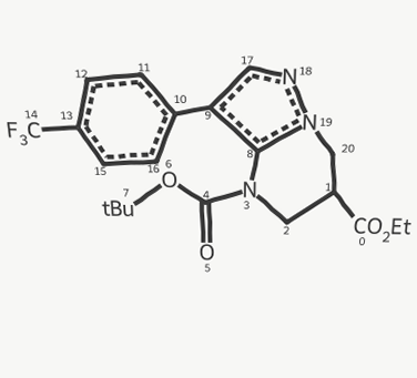 CCOC(=O)C1CN(C(=O)OC(C)(C)C)c2c(-c3ccc(C(F)(F)F)cc3)cnn2C1